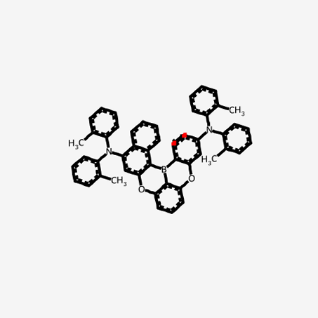 Cc1ccccc1N(c1ccccc1C)c1cc2c(c3ccccc13)B1c3c(cccc3Oc3cc(N(c4ccccc4C)c4ccccc4C)c4ccccc4c31)O2